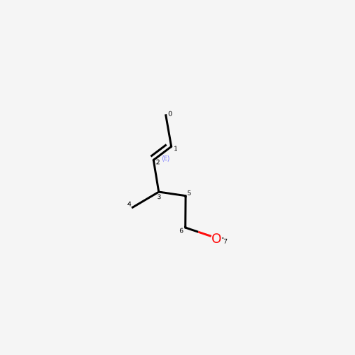 C/C=C/C(C)CC[O]